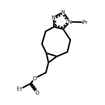 CCC(=O)OCC1C2CCc3nnn(C(C)C)c3CCC21